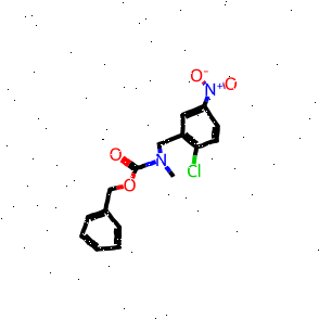 CN(Cc1cc([N+](=O)[O-])ccc1Cl)C(=O)OCc1ccccc1